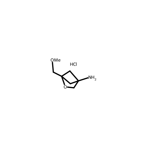 COCC12CC(N)(CO1)C2.Cl